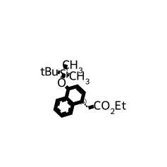 CCOC(=O)C[C@H]1C=CC(O[Si](C)(C)C(C)(C)C)c2ccccc21